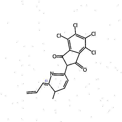 C=C/C=C1/N=C(C2C(=O)c3c(Cl)c(Cl)c(Cl)c(Cl)c3C2=O)C=CC1C